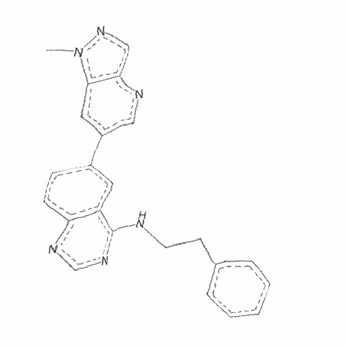 Cn1ncc2ncc(-c3ccc4ncnc(NCCc5ccccc5)c4c3)cc21